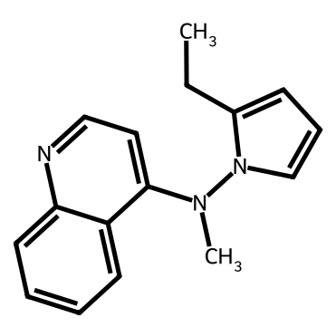 CCc1cccn1N(C)c1ccnc2ccccc12